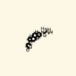 CC(C)[C@@H](N)C(=O)N[C@H]1CC[C@@]2(C)[C@H](CC[C@H]3C4=CC[C@H](c5ccc(=O)oc5)[C@@]4(C)CC[C@@H]32)C1